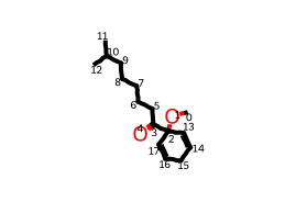 COC1(C(=O)CCCCCC(C)C)C=CCC=C1